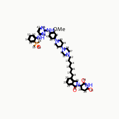 COc1cc(N2CCC(N3CCN(CCCCCCCc4cccc5c4CN(C4CCC(=O)NC4=O)C5=O)CC3)CC2)ccc1Nc1nccc(Nc2ccccc2P(C)(C)=O)n1